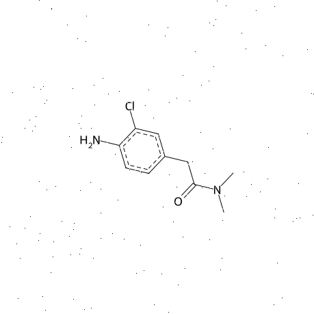 CN(C)C(=O)Cc1ccc(N)c(Cl)c1